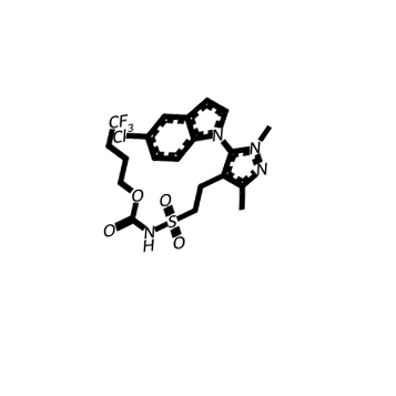 Cc1nn(C)c(-n2ccc3cc(Cl)ccc32)c1CCS(=O)(=O)NC(=O)OCCCC(F)(F)F